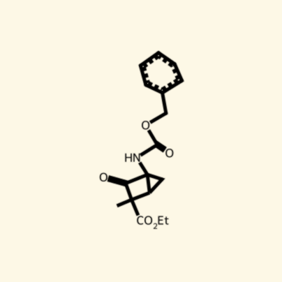 CCOC(=O)C1(C)C(=O)C2(NC(=O)OCc3ccccc3)CC21